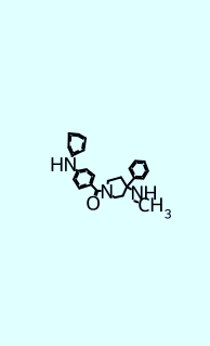 CCNC1(c2ccccc2)CCN(C(=O)c2ccc(Nc3ccccc3)cc2)CC1